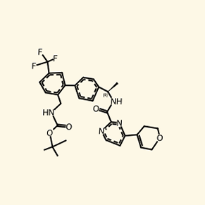 C[C@@H](NC(=O)c1nccc(C2=CCOCC2)n1)c1ccc(-c2cc(C(F)(F)F)ccc2CNC(=O)OC(C)(C)C)cc1